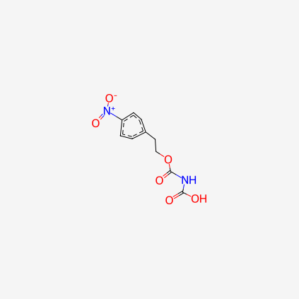 O=C(O)NC(=O)OCCc1ccc([N+](=O)[O-])cc1